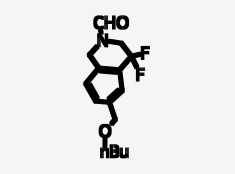 CCCCOCc1ccc2c(c1)C(F)(F)CN(C=O)C2